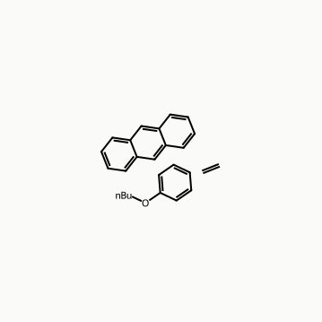 C=C.CCCCOc1ccccc1.c1ccc2cc3ccccc3cc2c1